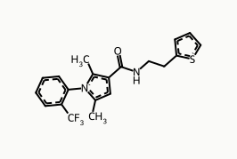 Cc1cc(C(=O)NCCc2cccs2)c(C)n1-c1ccccc1C(F)(F)F